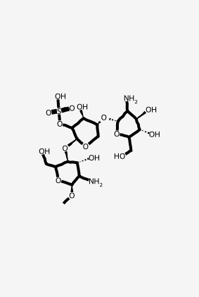 CO[C@H]1OC(CO)[C@@H](O[C@@H]2OC[C@@H](O[C@H]3OC(CO)[C@@H](O)[C@H](O)C3N)[C@H](O)C2OS(=O)(=O)O)[C@H](O)C1N